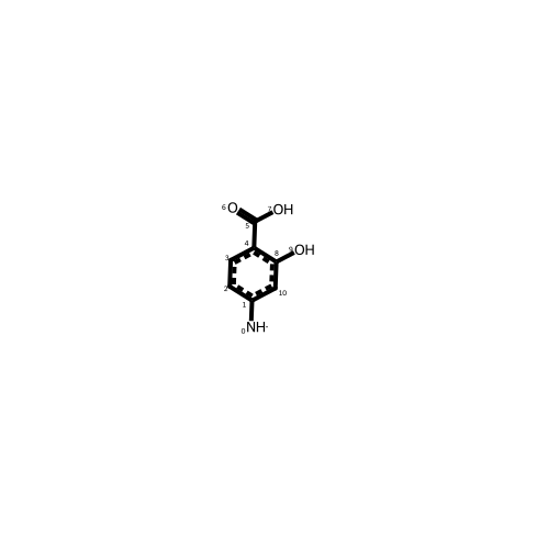 [NH]c1ccc(C(=O)O)c(O)c1